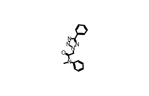 CN(C(=O)Cn1nnc(-c2ccccc2)n1)c1ccccc1